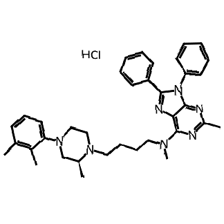 Cc1nc(N(C)CCCCN2CCN(c3cccc(C)c3C)C[C@@H]2C)c2nc(-c3ccccc3)n(-c3ccccc3)c2n1.Cl